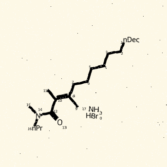 Br.CCCCCCCCCCCCCCCC/C(C)=C(\C)C(=O)N(C)CCC.N